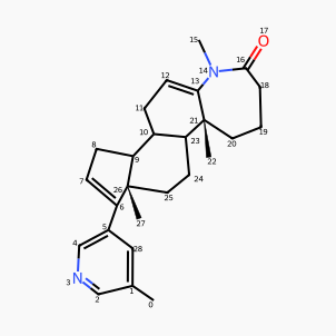 Cc1cncc(C2=CCC3C4CC=C5N(C)C(=O)CCC[C@]5(C)C4CC[C@]23C)c1